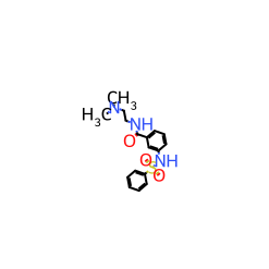 CN(C)CCNC(=O)c1cccc(NS(=O)(=O)c2ccccc2)c1